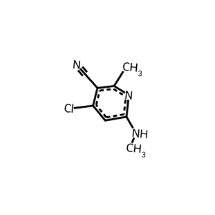 CNc1cc(Cl)c(C#N)c(C)n1